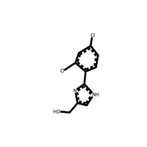 OCc1c[nH]c(-c2ccc(Cl)cc2Cl)n1